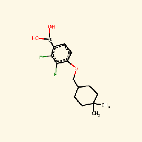 CC1(C)CCC(COc2ccc(B(O)O)c(F)c2F)CC1